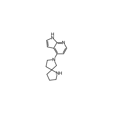 c1cc(N2CCC3(CCCN3)C2)c2cc[nH]c2n1